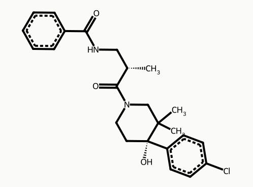 C[C@@H](CNC(=O)c1ccccc1)C(=O)N1CC[C@](O)(c2ccc(Cl)cc2)C(C)(C)C1